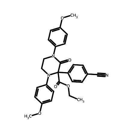 CCOC(=O)C1(c2ccc(C#N)cc2)C(=O)N(c2ccc(OC)cc2)CCN1c1ccc(OC)cc1